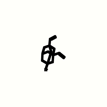 C=CC12CC3CC(Br)(C1)CC(C=C)(C3)C2